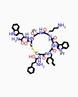 C=C/C=C(\C=C/C)C[C@@H]1NC(=O)[C@@H](NC(O)[C@H](N)Cc2ccccc2)CSSC[C@@H](C(=O)N[C@H](Cc2c[nH]c3ccccc23)C(N)=O)NC(=O)[C@H](C(C)C)NC(=O)[C@H](CCCCN)NC(=O)[C@@H](Cc2cn(C(C)C)c3ccccc23)NC1=O